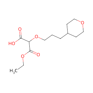 CCOC(=O)C(OCCCC1CCOCC1)C(=O)O